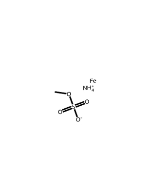 COS(=O)(=O)[O-].[Fe].[NH4+]